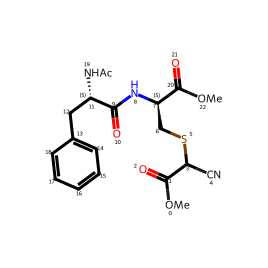 COC(=O)C(C#N)SC[C@@H](NC(=O)[C@H](Cc1ccccc1)NC(C)=O)C(=O)OC